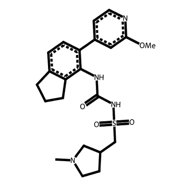 COc1cc(-c2ccc3c(c2NC(=O)NS(=O)(=O)CC2CCN(C)C2)CCC3)ccn1